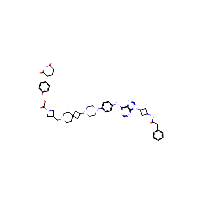 O=C1CC[C@@H](c2ccc(OCC(=O)N3CC(CN4CCC5(CC4)CC(N4CCN(c6ccc(Nc7ncnc8c7ncn8C7CC(NC(=O)Cc8ccccc8)C7)cc6)CC4)C5)C3)cc2)C(=O)N1